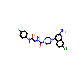 Nc1cc(N2CCN(C(=O)NCC(=O)Nc3ccc(F)cc3)CC2)c2ccc(Cl)cc2n1